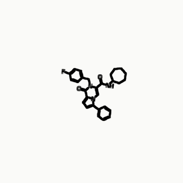 O=C(NC1CCCCCC1)c1cn2c(-c3ccccc3)ccc2c(=O)n1Cc1ccc(F)cc1